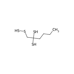 CCCCC(S)(S)CSS